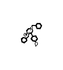 COc1ccc(C2CN(Cc3ccccc3)C=C[N+]2([O-])Cc2ccccc2)cc1